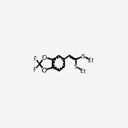 CCSC(=Cc1ccc2c(c1)OC(F)(F)O2)SCC